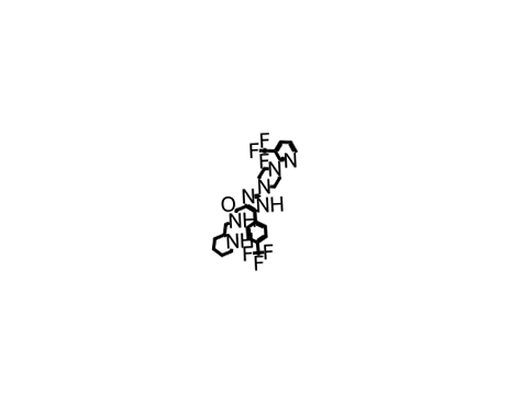 O=C(NCC1CCCCN1)c1nc(N2CCN(c3ncccc3C(F)(F)F)CC2)[nH]c1-c1ccc(C(F)(F)F)cc1